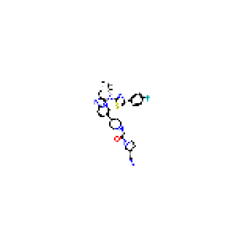 CCc1nc2ccc(C3CCN(CC(=O)N4CCC(C#N)C4)CC3)cn2c1N(C)c1nc(-c2ccc(F)cc2)cs1